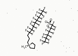 C[N+]1(CCCC(F)(F)C(F)(F)C(F)(F)C(F)(F)C(F)(F)C(F)(F)C(F)(F)C(F)(F)F)CCCC1.O=S(=O)([O-])C(F)(F)C(F)(F)C(F)(F)C(F)(F)C(F)(F)C(F)(F)F